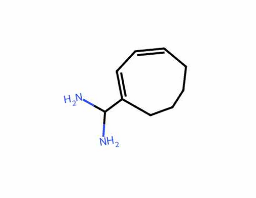 NC(N)/C1=C/C=C\CCCC1